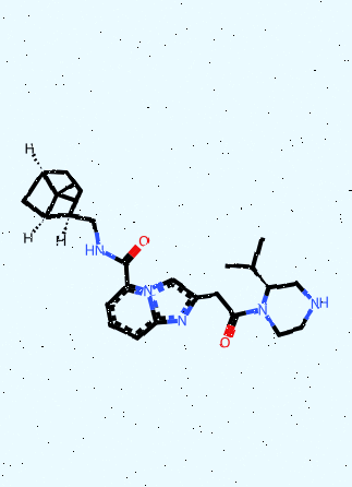 CC(C)[C@H]1CNCCN1C(=O)Cc1cn2c(C(=O)NC[C@@H]3CC[C@@H]4C[C@H]3C4(C)C)cccc2n1